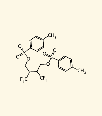 Cc1ccc(S(=O)(=O)OCC(C(COS(=O)(=O)c2ccc(C)cc2)C(F)(F)F)C(F)(F)F)cc1